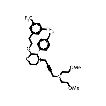 COCCN(CC#CCN1CCO[C@@H](OCCc2cc(C(F)(F)F)cc(C(F)(F)F)c2)[C@@H]1c1ccc(F)cc1)CCOC